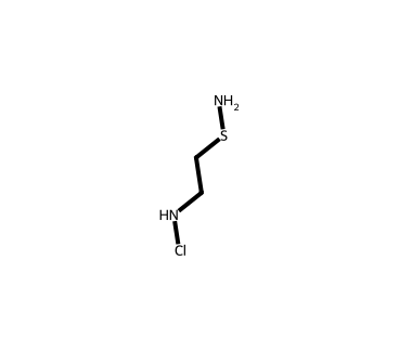 NSCCNCl